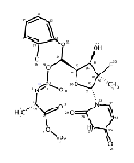 CCCCOC(=O)[C@H](C)/N=[P+](\[O-])OC(Oc1ccccc1Cl)[C@@H]1O[C@@H](n2ccc(=O)[nH]c2=O)[C@](C)(F)[C@@H]1O